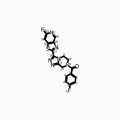 O=C(c1ccc(F)cc1)N1CCn2c(nnc2-c2nc3cnc(F)cc3s2)C1